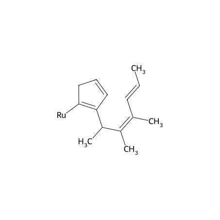 CC=CC(C)=C(C)C(C)C1=[C]([Ru])CC=C1